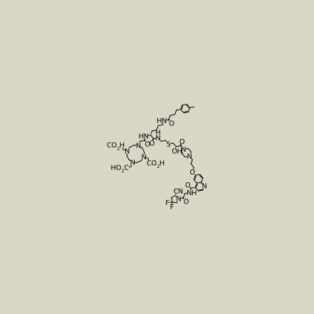 Cc1ccc(CCCC(=O)NCCCC[C@H](NC(=O)CN2CCN(CC(=O)O)CCN(CC(=O)O)CCN(CC(=O)O)CC2)C(=O)NCCSC[C@@H](O)C(=O)N2CCN(CCCOc3ccc4nccc(C(=O)NCC(=O)N5CC(F)(F)C[C@@H]5C#N)c4c3)CC2)cc1